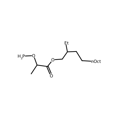 CCCCCCCCCCC(CC)COC(=O)C(C)OP